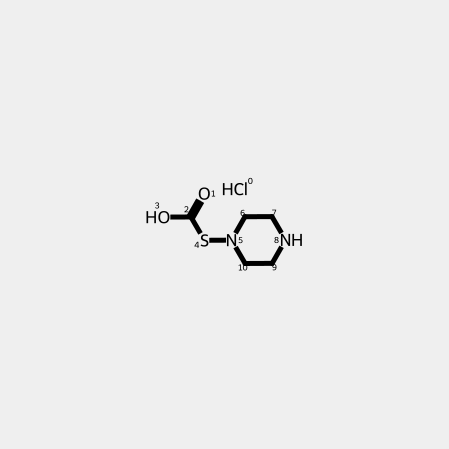 Cl.O=C(O)SN1CCNCC1